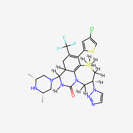 [2H]N1C(=O)N2C3=C(C(c4cc(Cl)cs4)=C(C(F)(F)F)CC3([2H])C1([2H])N1C[C@@H](C)N[C@@H](C)C1)S([2H])([2H])([2H])([2H])C([2H])([2H])[C@@]([2H])(n1ccnn1)C2([2H])[2H]